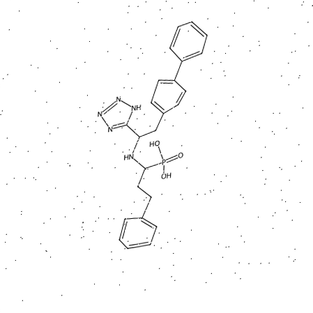 O=P(O)(O)C(CCc1ccccc1)NC(Cc1ccc(-c2ccccc2)cc1)c1nnn[nH]1